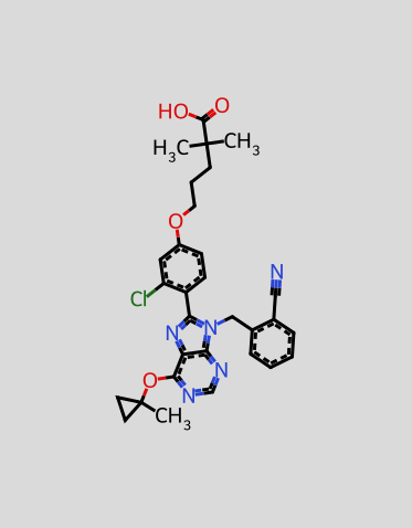 CC1(Oc2ncnc3c2nc(-c2ccc(OCCCC(C)(C)C(=O)O)cc2Cl)n3Cc2ccccc2C#N)CC1